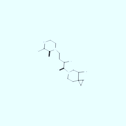 CC1NCCN(CCC(O)C(=O)N2CCC3(CC3)C(O)C2)C1=O